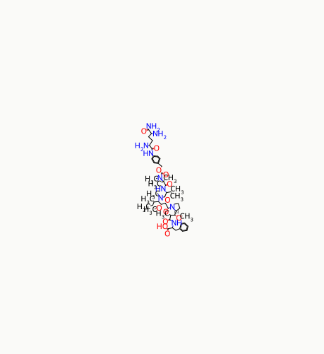 CCC(C)C(C(CC(=O)N1CCC[C@H]1C(OC)C(C)C(=O)NC(Cc1ccccc1)C(=O)O)OC)N(C)C(=O)C(NC(=O)C(C)(C)N(C)C(=O)OCc1ccc(NC(=O)C(N)CCC(N)C(N)=O)cc1)C(C)C